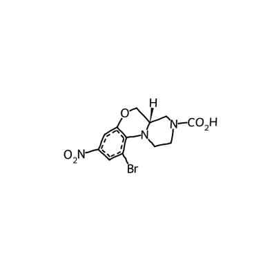 O=C(O)N1CCN2c3c(Br)cc([N+](=O)[O-])cc3OC[C@@H]2C1